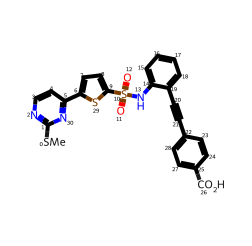 CSc1nccc(-c2ccc(S(=O)(=O)Nc3ccccc3C#Cc3ccc(C(=O)O)cc3)s2)n1